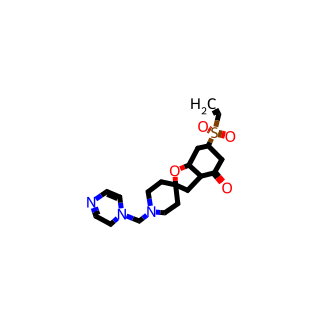 C=CS(=O)(=O)C1CC(=O)C2CC3(CCN(CN4C=CN=CC4)CC3)OC2C1